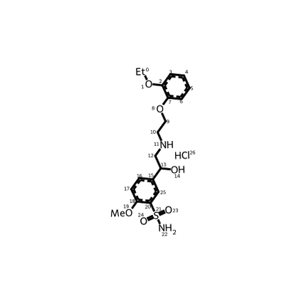 CCOc1ccccc1OCCNCC(O)c1ccc(OC)c(S(N)(=O)=O)c1.Cl